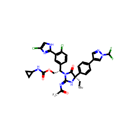 CC(C)(C)C[C@]1(c2ccc(-c3cnn(C(F)F)c3)cc2)N/C(=N\C(=O)C(F)(F)F)N([C@H](COC(=O)NC2CC2)c2ccc(Cl)c(-c3nc(Cl)c[nH]3)c2)C1=O